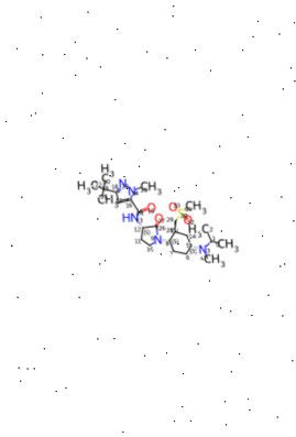 CC(C)N(C)[C@@H]1CC[C@H](N2CC[C@H](NC(=O)c3cc(C(C)(C)C)nn3C)C2=O)[C@@H](CS(C)(=O)=O)C1